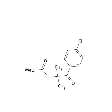 COC(=O)CC(C)(C)C(=O)c1ccc(Cl)cc1